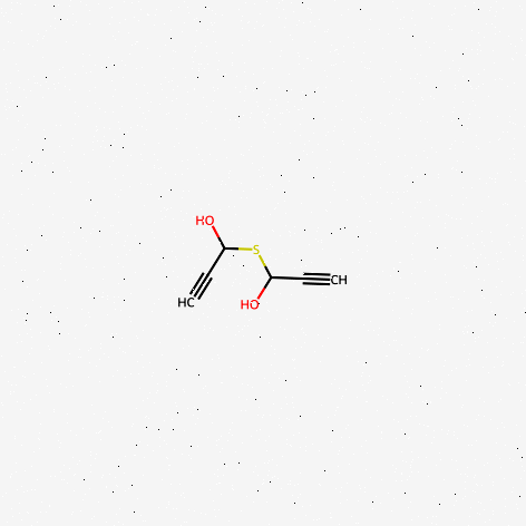 C#CC(O)SC(O)C#C